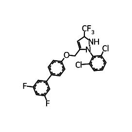 Fc1cc(F)cc(-c2ccc(OCC3=CC(C(F)(F)F)NN3c3c(Cl)cccc3Cl)cc2)c1